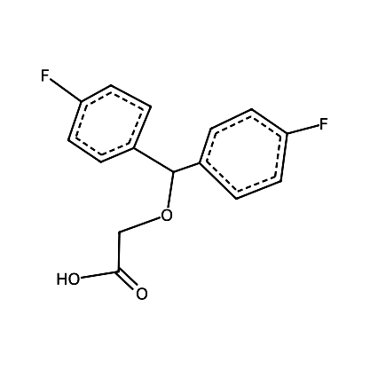 O=C(O)COC(c1ccc(F)cc1)c1ccc(F)cc1